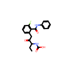 CCC(NC(=O)O)C(=O)Cc1cccc(F)c1C(=O)Nc1ccccc1